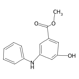 COC(=O)c1cc(O)cc(Nc2ccccc2)c1